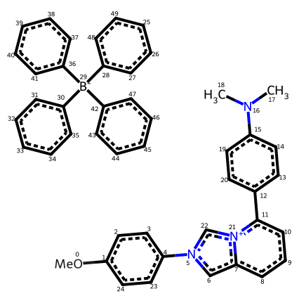 COc1ccc(-n2cc3cccc(-c4ccc(N(C)C)cc4)[n+]3c2)cc1.c1ccc([B-](c2ccccc2)(c2ccccc2)c2ccccc2)cc1